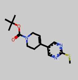 CSc1ncc(C2=CCN(C(=O)OC(C)(C)C)CC2)cn1